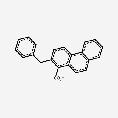 O=C(O)c1c(Cc2ccccc2)ccc2c1ccc1ccccc12